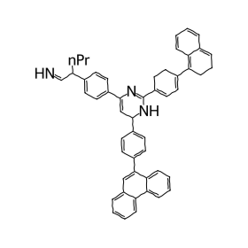 CCCC(C=N)c1ccc(C2=CC(c3ccc(-c4cc5ccccc5c5ccccc45)cc3)NC(C3=CC=C(C4=c5ccccc5=CCC4)CC3)=N2)cc1